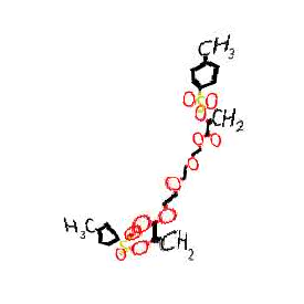 C=C(OS(=O)(=O)c1ccc(C)cc1)C(=O)OCCOCCOCCOC(=O)C(=C)OS(=O)(=O)c1ccc(C)cc1